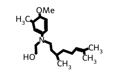 COC1C=CC(N(CCO)CCC(C)CCC=C(C)C)=CC1C